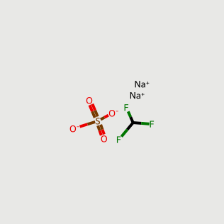 FC(F)F.O=S(=O)([O-])[O-].[Na+].[Na+]